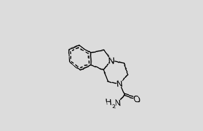 NC(=O)N1CCN2Cc3ccccc3C2C1